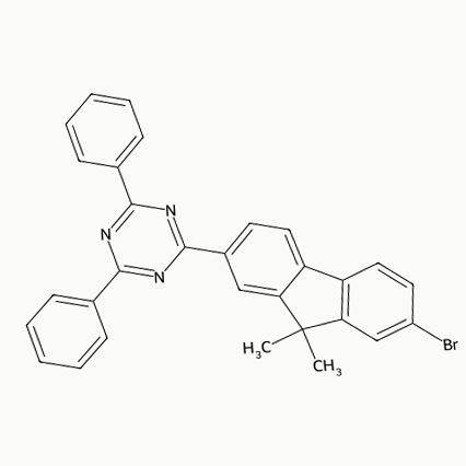 CC1(C)c2cc(Br)ccc2-c2ccc(-c3nc(-c4ccccc4)nc(-c4ccccc4)n3)cc21